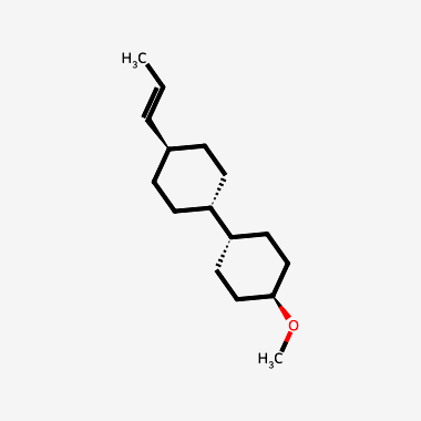 C/C=C/[C@H]1CC[C@H]([C@H]2CC[C@H](OC)CC2)CC1